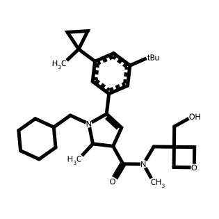 CC1C(C(=O)N(C)CC2(CO)COC2)C=C(c2cc(C(C)(C)C)cc(C3(C)CC3)c2)N1CC1CCCCC1